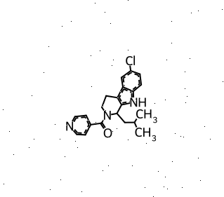 CC(C)CC1c2[nH]c3ccc(Cl)cc3c2CCN1C(=O)c1ccncc1